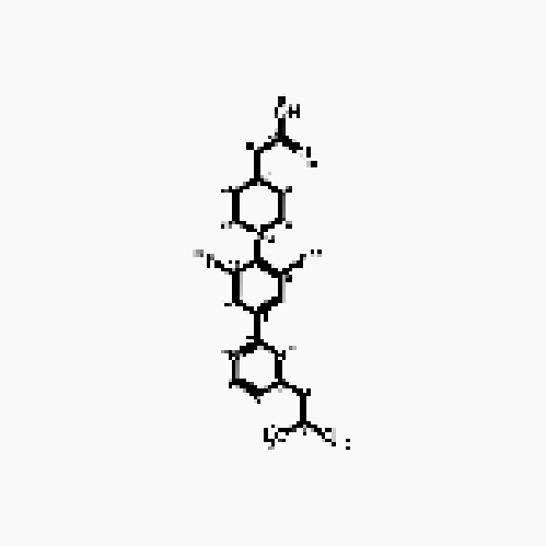 CC(C)Cc1ccnc(-c2cc(F)c(N3CCC(CC(=O)O)CC3)c(F)c2)n1